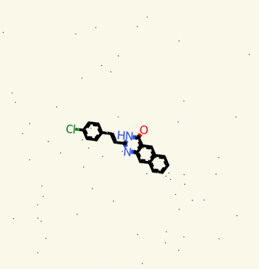 O=c1[nH]c(C=Cc2ccc(Cl)cc2)nc2cc3ccccc3cc12